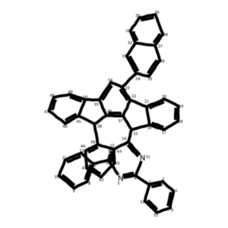 c1ccc(-c2nc(-c3ccccc3)nc(C3c4ccccc4-c4c(-c5ccc6ccccc6c5)cc5c(c43)C(c3ccccc3)c3ccccc3-5)n2)cc1